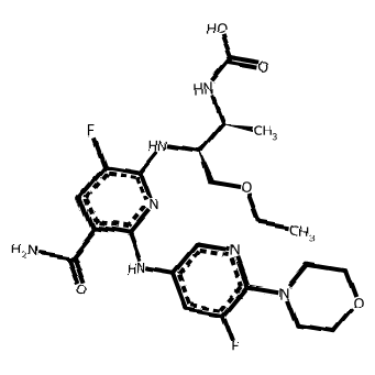 CCOC[C@@H](Nc1nc(Nc2cnc(N3CCOCC3)c(F)c2)c(C(N)=O)cc1F)[C@H](C)NC(=O)O